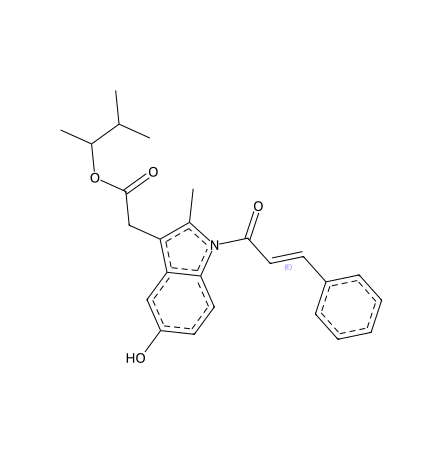 Cc1c(CC(=O)OC(C)C(C)C)c2cc(O)ccc2n1C(=O)/C=C/c1ccccc1